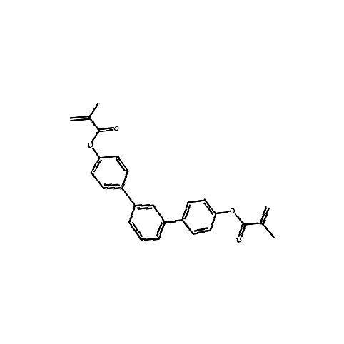 C=C(C)C(=O)Oc1ccc(-c2cccc(-c3ccc(OC(=O)C(=C)C)cc3)c2)cc1